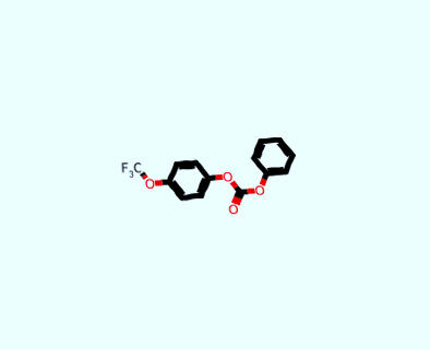 O=C(Oc1ccccc1)Oc1ccc(OC(F)(F)F)cc1